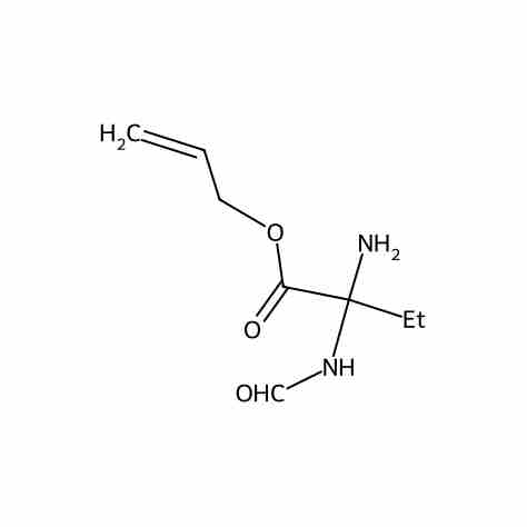 C=CCOC(=O)C(N)(CC)NC=O